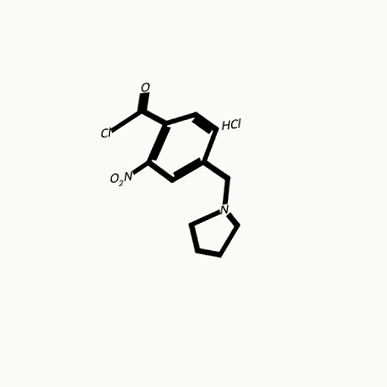 Cl.O=C(Cl)c1ccc(CN2CCCC2)cc1[N+](=O)[O-]